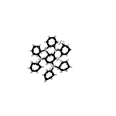 Cc1cccc(C)c1N1c2ccccc2B2c3ccccc3N(c3ccccc3)c3cc(N(c4ccccc4)c4ccccc4)cc1c32